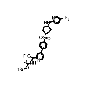 CC(C)(C)OC(=O)NC(c1cc(-c2ccc(S(=O)(=O)[C@H]3CC[C@H](Nc4ccc(C(F)(F)F)cn4)CC3)cc2)ccn1)C(F)(F)F